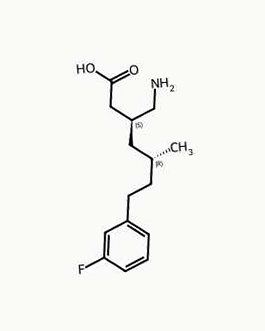 C[C@H](CCc1cccc(F)c1)C[C@H](CN)CC(=O)O